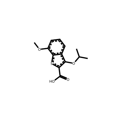 COc1cccc2c(OC(C)C)c(C(=O)O)sc12